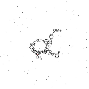 C=C[C@@H]1C[C@@]12NC(=O)[C@@H]1C[C@@H](OC(=O)N3Cc4cccc(F)c4C3)CN1C(=O)[C@@H](NC(=O)OC1CCN(CCOC)CC1)CCCCCCCNc1ccccc1S(=O)(=O)NC2=O